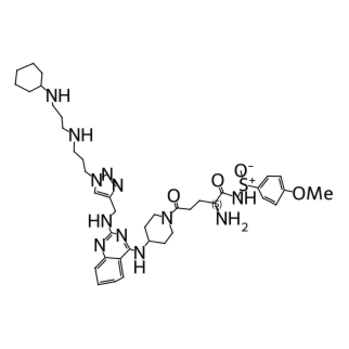 COc1ccc([S+]([O-])NC(=O)[C@@H](N)CCC(=O)N2CCC(Nc3nc(NCc4cn(CCCNCCCNC5CCCCC5)nn4)nc4ccccc34)CC2)cc1